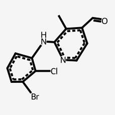 Cc1c(C=O)ccnc1Nc1cccc(Br)c1Cl